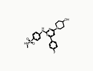 CNS(=O)(=O)c1ccc(Nc2nc(-c3ccc(F)cc3)cc(N3CCC(O)CC3)n2)cc1